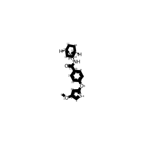 COc1csc(Oc2ccc(C(=O)N[C@@H]3C[C@H]4CC[C@@H]3N4)cc2)c1